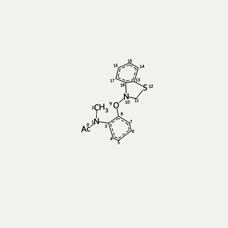 CC(=O)N(C)c1ccccc1ON1CSc2ccccc21